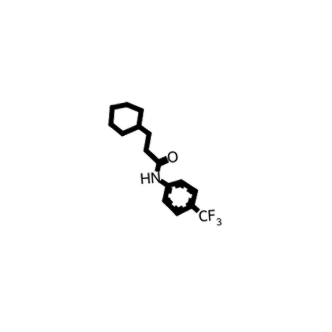 O=C(CCC1CCCCC1)Nc1ccc(C(F)(F)F)cc1